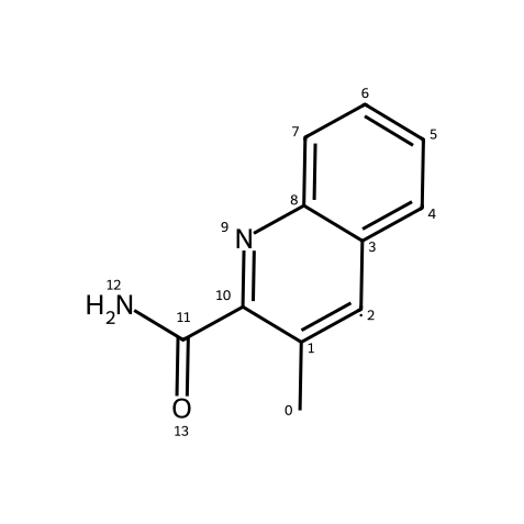 Cc1[c]c2ccccc2nc1C(N)=O